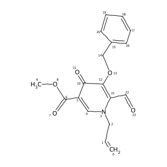 C=CCn1cc(C(=O)OC)c(=O)c(OCc2ccccc2)c1C=O